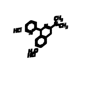 CN(C)C1=NC(c2ccccn2)c2ccccc2C1.Cl.Cl.O